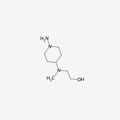 CN(CCO)C1CCN(N)CC1